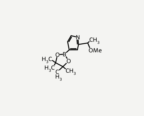 COC(C)c1cc(B2OC(C)(C)C(C)(C)O2)ccn1